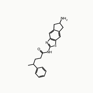 CC(CCC(=O)Nc1nc2cc3c(cc2s1)CC(N)C3)c1ccccc1